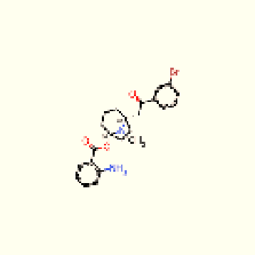 CN1[C@@]2(CC(=O)c3cccc(Br)c3)CCC[C@]1(OC(=O)c1ccccc1N)CC2